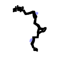 CC/C=C\CC1OC1C/C=C\CCCCCCCC